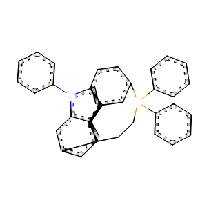 C=C/C=C1\CC[PH](c2ccccc2)(c2ccccc2)c2ccc3c(c2)c2ccc1cc2n3-c1ccccc1